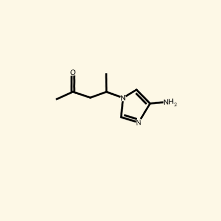 CC(=O)CC(C)n1cnc(N)c1